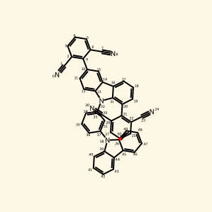 N#Cc1cccc(C#N)c1-c1ccc2c(c1)c1cccc(-c3c(C#N)cccc3C#N)c1n2-c1cccc(-n2c3ccccc3c3ccccc32)c1